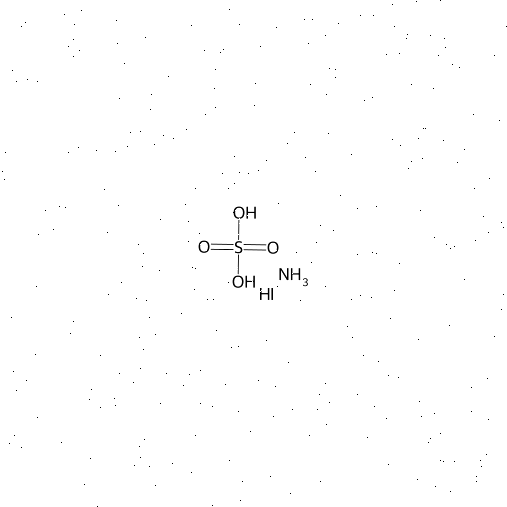 I.N.O=S(=O)(O)O